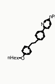 CCCCCCOc1ccc(CCc2ccc(-c3ccc(CCC)cn3)cc2)cc1